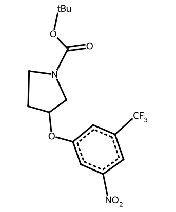 CC(C)(C)OC(=O)N1CCC(Oc2cc([N+](=O)[O-])cc(C(F)(F)F)c2)C1